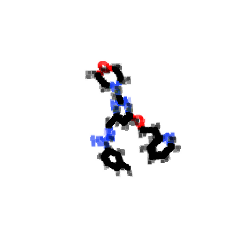 Cc1cccc(N/N=C/c2cc(OCCc3ccccn3)nc(N3CCOCC3)n2)c1